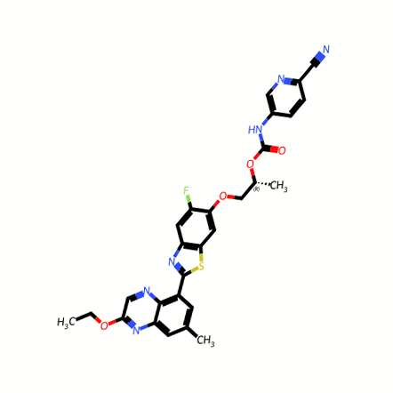 CCOc1cnc2c(-c3nc4cc(F)c(OC[C@@H](C)OC(=O)Nc5ccc(C#N)nc5)cc4s3)cc(C)cc2n1